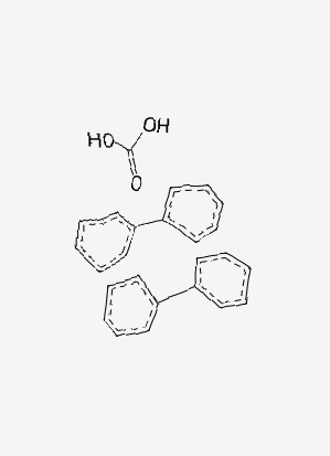 O=C(O)O.c1ccc(-c2ccccc2)cc1.c1ccc(-c2ccccc2)cc1